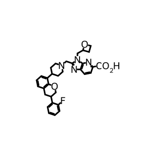 O=C(O)c1ccc2nc(CN3CCC(c4cccc5c4OCC(c4ccccc4F)C5)CC3)n(CC3CCO3)c2n1